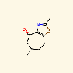 Cc1nc2c(s1)CC[C@H](C)CC2=O